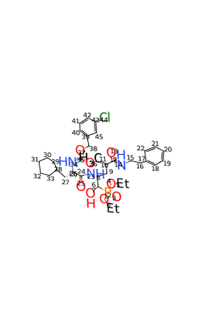 CCOP(=O)(OCC)C(O)C(CC(C)C(=O)NCCc1ccccc1)NC(=O)[C@H](CC1CCCCC1)NC(=O)OCc1cccc(Cl)c1